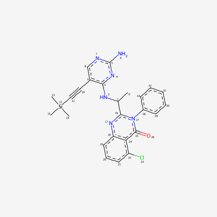 CC(Nc1nc(N)ncc1C#C[Si](C)(C)C)c1nc2cccc(Cl)c2c(=O)n1-c1ccccc1